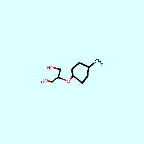 CC1CCC(OC(CO)CO)CC1